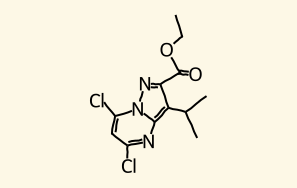 CCOC(=O)c1nn2c(Cl)cc(Cl)nc2c1C(C)C